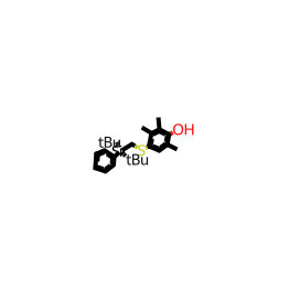 Cc1cc(SC[Si](c2ccccc2)(C(C)(C)C)C(C)(C)C)c(C)c(C)c1O